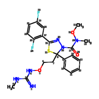 CNC(=N)NOCCC1(c2ccccc2)SC(c2cc(F)ccc2F)=NN1C(=O)N(C)OC